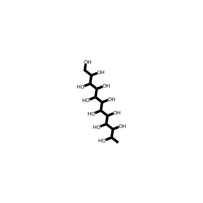 CC(O)C(O)C(O)C(O)C(O)C(O)C(O)C(O)C(O)C(O)CO